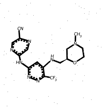 CN1CCO[C@@H](CNc2cc(Nc3cnc(C#N)cn3)nnc2C(F)(F)F)C1